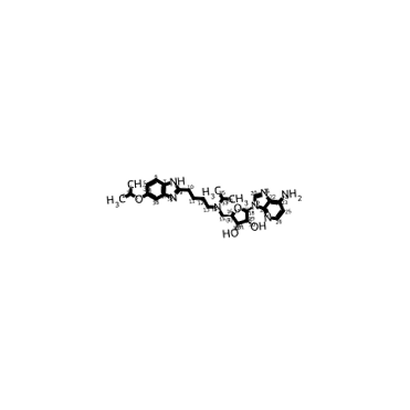 CC(C)Oc1ccc2[nH]c(CCCCN(C[C@H]3O[C@@H](n4cnc5c(N)ccnc54)[C@H](O)[C@@H]3O)C(C)C)nc2c1